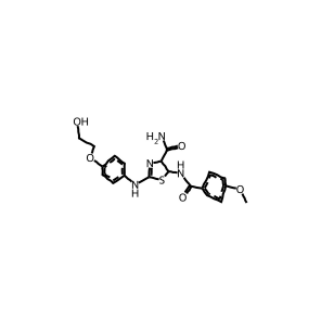 COc1ccc(C(=O)NC2SC(Nc3ccc(OCCO)cc3)=NC2C(N)=O)cc1